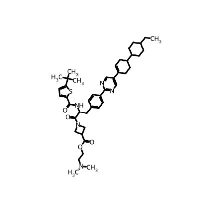 CCC1CCC(C2CC=C(c3cnc(-c4ccc(C[C@H](NC(=O)c5ccc(C(C)(C)C)s5)C(=O)N5CC(C(=O)OCCN(C)C)C5)cc4)nc3)CC2)CC1